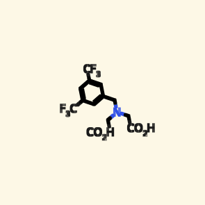 O=C(O)CN(CC(=O)O)Cc1cc(C(F)(F)F)cc(C(F)(F)F)c1